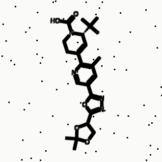 Cc1cc(-c2nnc(C3COC(C)(C)O3)o2)cnc1C1=C[C@@H](C(C)(C)C)N(C(=O)O)CC1